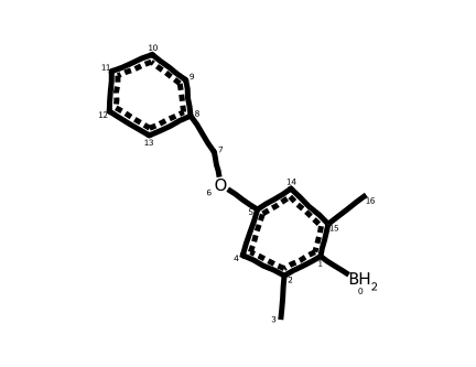 Bc1c(C)cc(OCc2ccccc2)cc1C